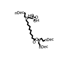 CCCCCCCCCCCCN(CCCCCCCCCC(=O)ON(CCCCCCCCCCCC)CCCCCCCCCCCC)CCP(=O)(O)O